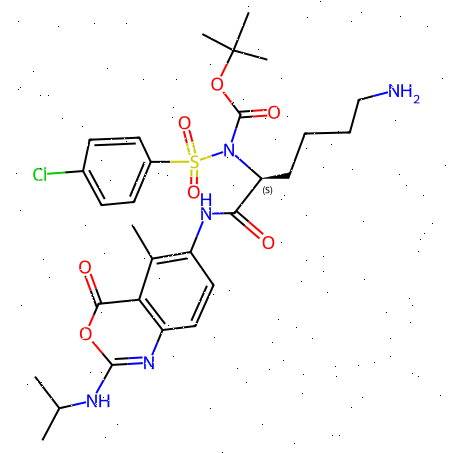 Cc1c(NC(=O)[C@H](CCCCN)N(C(=O)OC(C)(C)C)S(=O)(=O)c2ccc(Cl)cc2)ccc2nc(NC(C)C)oc(=O)c12